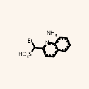 CCC(c1ccc2ccccc2n1)S(=O)(=O)O.N